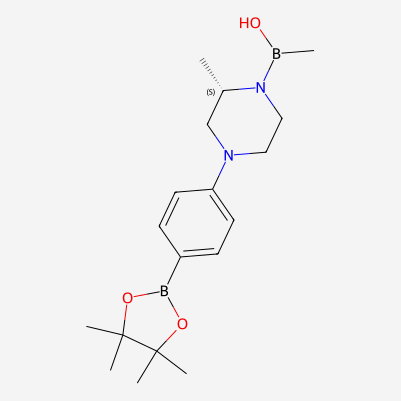 CB(O)N1CCN(c2ccc(B3OC(C)(C)C(C)(C)O3)cc2)C[C@@H]1C